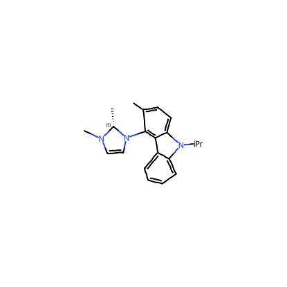 Cc1ccc2c(c1N1C=CN(C)[C@@H]1C)c1ccccc1n2C(C)C